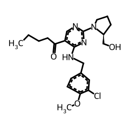 CCCCC(=O)c1cnc(N2CCC[C@H]2CO)nc1NCc1ccc(OC)c(Cl)c1